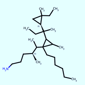 CCCCCCC1(C(C)[C@@H](C)CCCN)C(C)C1C(C)(CC)[C@H]1CC1(C)CC